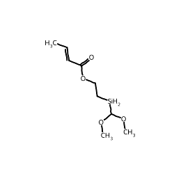 CC=CC(=O)OCC[SiH2]C(OC)OC